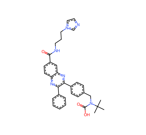 CC(C)(C)N(Cc1ccc(-c2nc3cc(C(=O)NCCCn4ccnc4)ccc3nc2-c2ccccc2)cc1)C(=O)O